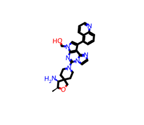 C[C@@H]1OCC2(CCN(c3nc4c(c(-c5cccc6ncccc56)cn4CO)c4nccn34)CC2)[C@@H]1N